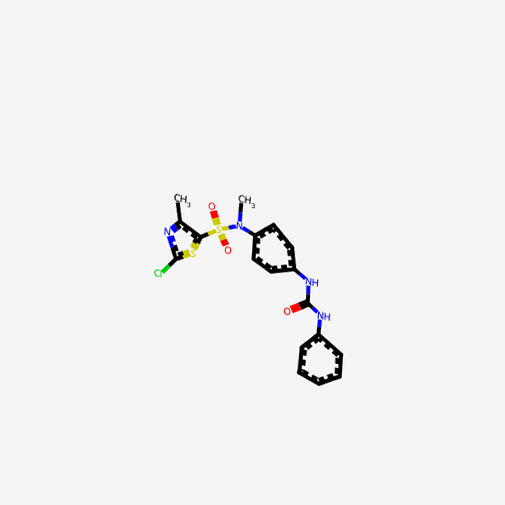 Cc1nc(Cl)sc1S(=O)(=O)N(C)c1ccc(NC(=O)Nc2ccccc2)cc1